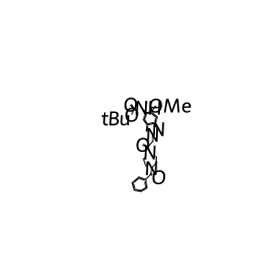 COc1cc2nn(CC(=O)N3CCN(C(=O)c4ccccc4)CC3)cc2cc1NC(=O)OC(C)(C)C